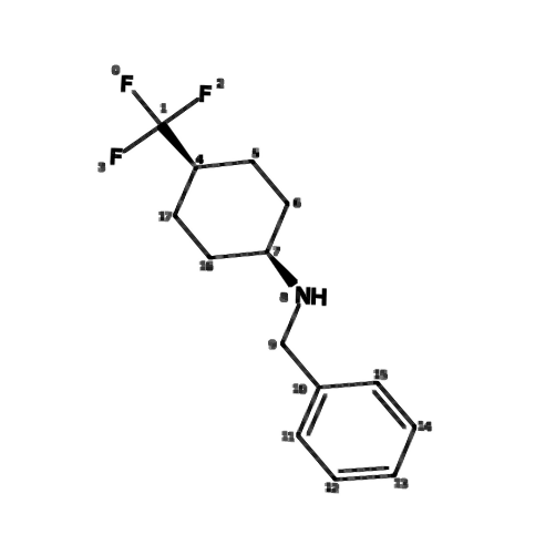 FC(F)(F)[C@H]1CC[C@@H](NCc2ccccc2)CC1